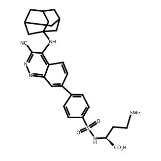 CSCC[C@H](NS(=O)(=O)c1ccc(-c2ccc3c(NC45CC6CC(CC(C6)C4)C5)c(C#N)nnc3c2)cc1)C(=O)O